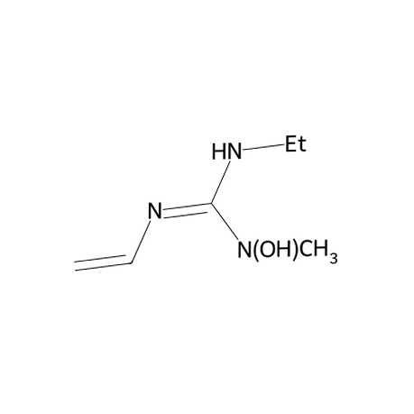 C=C/N=C(/NCC)N(C)O